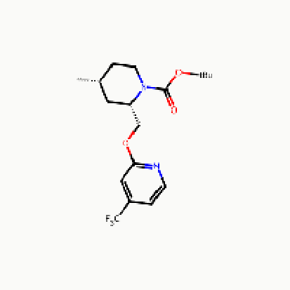 C[C@@H]1CCN(C(=O)OC(C)(C)C)[C@H](COc2cc(C(F)(F)F)ccn2)C1